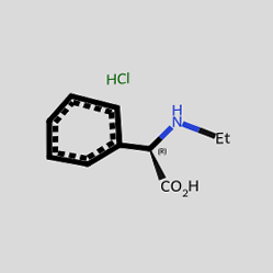 CCN[C@@H](C(=O)O)c1ccccc1.Cl